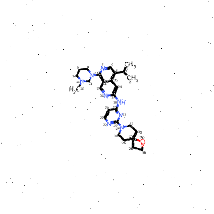 CC(C)c1cnc(N2CCCN(C)C2)c2cnc(Nc3ccnc(N4CCC5(CCO5)CC4)n3)cc12